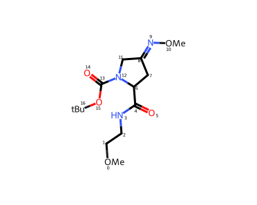 COCCNC(=O)C1CC(=NOC)CN1C(=O)OC(C)(C)C